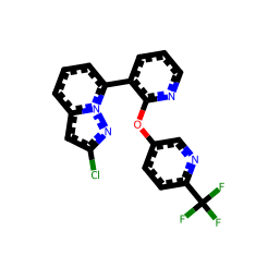 FC(F)(F)c1ccc(Oc2ncccc2-c2cccc3cc(Cl)nn23)cn1